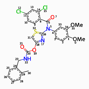 COc1ccc(N(C(=O)c2ccc(Cl)cc2Cl)c2nc(OC(=O)NCc3ccccc3C)cs2)cc1OC